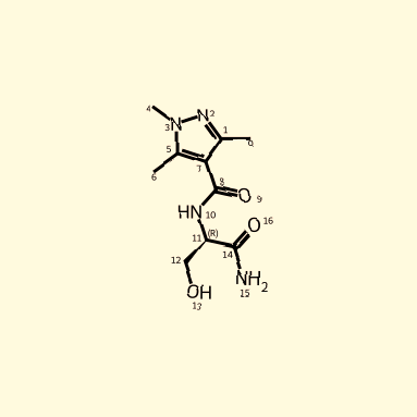 Cc1nn(C)c(C)c1C(=O)N[C@H](CO)C(N)=O